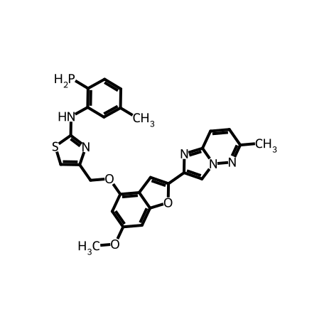 COc1cc(OCc2csc(Nc3cc(C)ccc3P)n2)c2cc(-c3cn4nc(C)ccc4n3)oc2c1